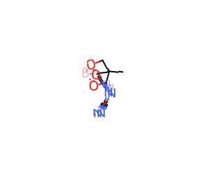 CC12COB(O/C1=N\C#N)O/C2=N\C#N